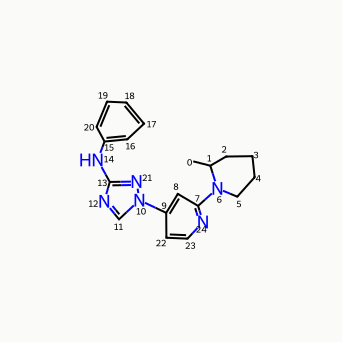 CC1CCCCN1c1cc(-n2cnc(Nc3ccccc3)n2)ccn1